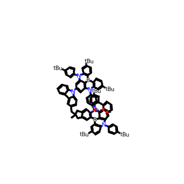 Cc1cc2c3c(c1)N(c1ccc(C(C)(C)C)cc1-c1ccccc1)c1cc4c(cc1B3c1cc(C(C)(C)C)ccc1N2c1ccc(C(C)(C)C)cc1)CC(C)(Cc1ccc2c(c1)c1ccccc1n2-c1cc2c3c(c1)N(c1ccc(C(C)(C)C)cc1)c1cc(C(C)(C)C)ccc1B3c1ccc(C(C)(C)C)cc1N2c1ccc(C(C)(C)C)cc1)C4